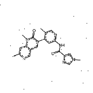 Cc1cc2c(cn1)cc(-c1cc(NC(=O)c3cn(C)cn3)ccc1C)c(=O)n2C